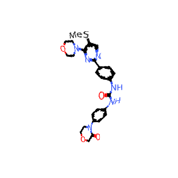 CSc1cnc(-c2ccc(NC(=O)Nc3ccc(N4CCOCC4=O)cc3)cc2)nc1N1CCOCC1